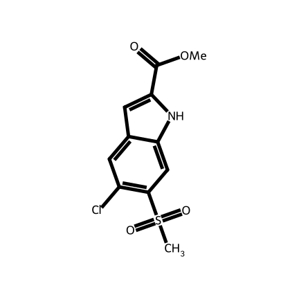 COC(=O)c1cc2cc(Cl)c(S(C)(=O)=O)cc2[nH]1